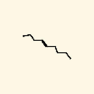 CCC/C=[C]/CCCC